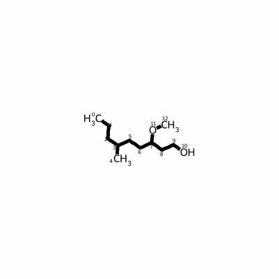 CCCC(C)CCC(CCO)OC